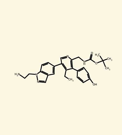 CCc1c(-c2ccc3c(cnn3CCN)c2)cnc(CNC(=O)OC(C)(C)C)c1-c1ccc(O)cc1